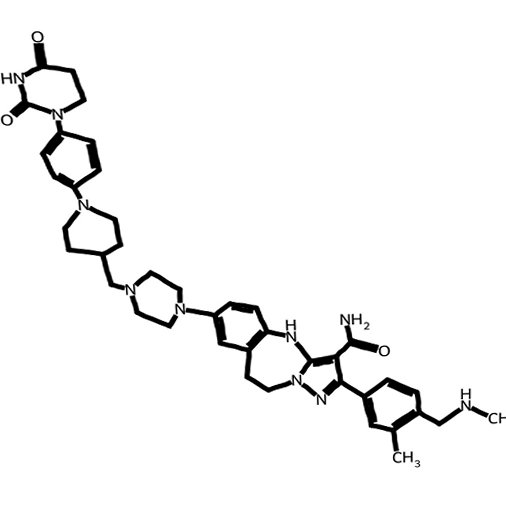 Cc1cc(-c2nn3c(c2C(N)=O)Nc2ccc(N4CCN(CC5CCN(c6ccc(N7CCC(=O)NC7=O)cc6)CC5)CC4)cc2CC3)ccc1CNC=O